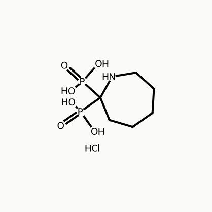 Cl.O=P(O)(O)C1(P(=O)(O)O)CCCCCN1